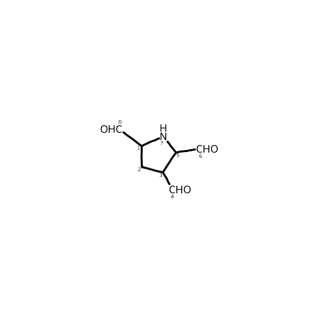 O=CC1CC(C=O)C(C=O)N1